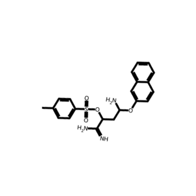 Cc1ccc(S(=O)(=O)OC(CC(N)Oc2ccc3ccccc3c2)C(=N)N)cc1